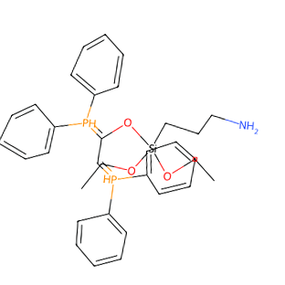 CCO[Si](CCCN)(OCC)OC(C=[PH](c1ccccc1)c1ccccc1)=[PH](c1ccccc1)c1ccccc1